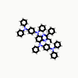 C=Cc1nc2c(N(c3ccccc3)c3ccc(N(c4ccccc4)c4ccccc4)cc3)ccc(N(c3ccccc3)c3ccc(N(c4ccccc4)c4ccccc4)cc3)c2nc1-c1ccccc1